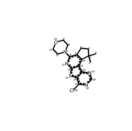 CC1(C)CCc2c(N3CCOCC3)nc3sc4c(Cl)ncnc4c3c21